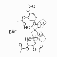 CC(=O)Oc1ccc(C[N+]2(C)C3CCC2CC(C(CC(=O)O)(C(=O)O)C2CC4CCC(C2)[N+]4(C)Cc2ccc(OC(C)=O)c(OC(C)=O)c2)C3)cc1OC(C)=O.[Br-].[Br-]